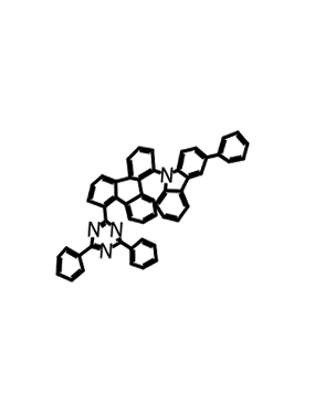 c1ccc(-c2ccc3c(c2)c2ccccc2n3-c2cccc3c4cccc(-c5nc(-c6ccccc6)nc(-c6ccccc6)n5)c4c4ccccc4c23)cc1